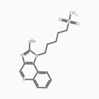 CCCCc1nc2cnc3ccccc3c2n1CCCCCS(C)(=O)=O